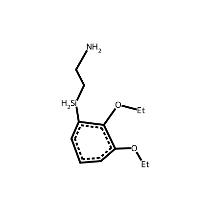 CCOc1cccc([SiH2]CCN)c1OCC